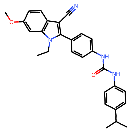 CCn1c(-c2ccc(NC(=O)Nc3ccc(C(C)C)cc3)cc2)c(C#N)c2ccc(OC)cc21